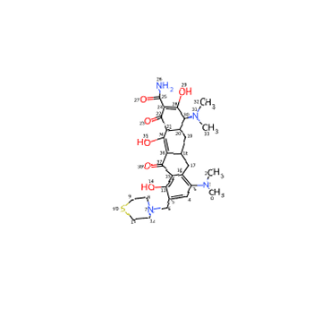 CN(C)c1cc(CN2CCSCC2)c(O)c2c1CC1CC3C(C(=O)C(C(N)=O)=C(O)[C@H]3N(C)C)C(O)=C1C2=O